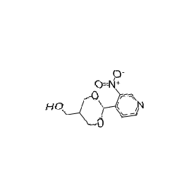 O=[N+]([O-])c1cnccc1C1OCC(CO)CO1